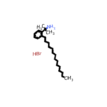 Br.CCCCCCCCCCCCCCCc1ccccc1C(C)(C)N